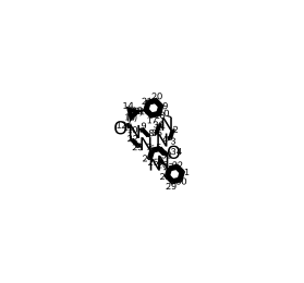 CN1CCN(c2c(N3CCN(C(=O)[C@@H]4C[C@H]4c4ccccc4)CC3)cnn(-c3ccccc3)c2=O)CC1